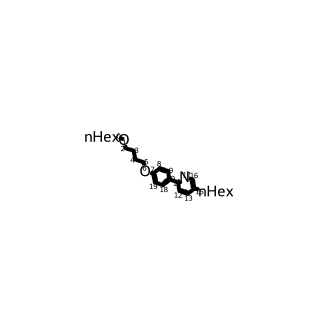 CCCCCCOCCCCOc1ccc(-c2ccc(CCCCCC)cn2)cc1